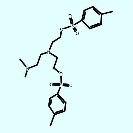 Cc1ccc(S(=O)(=O)OCCN(CCOS(=O)(=O)c2ccc(C)cc2)CCN(C)C)cc1